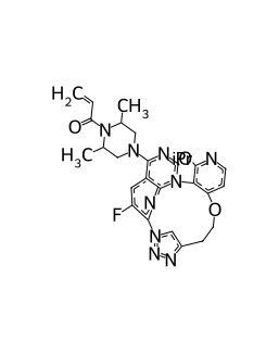 C=CC(=O)N1C(C)CN(c2nc(=O)n3c4nc(c(F)cc24)-n2cc(nn2)CCOc2ccnc(C(C)C)c2-3)CC1C